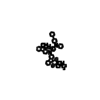 CC1(C)c2ccccc2-c2ccc(N(c3ccc(N(c4ccccc4)c4ccc(-c5ccccc5)cc4)cc3)c3ccc4c(c3)-c3ccccc3C43c4ccccc4C(C)(C)c4ccccc43)cc21